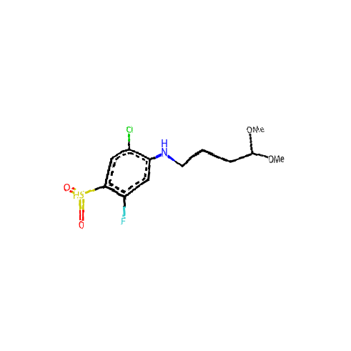 COC(CCCNc1cc(F)c([SH](=O)=O)cc1Cl)OC